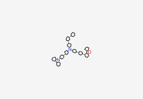 c1ccc(-c2cccc(-c3ccc(N(c4ccc(-c5ccc(-c6cccc7oc8ccccc8c67)cc5)cc4)c4ccc(-c5ccc(-n6c7ccccc7c7ccccc76)cc5)cc4)cc3)c2)cc1